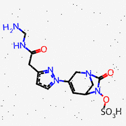 NCNC(=O)Cc1ccn(C2=CC3CN(C2)C(=O)N3OS(=O)(=O)O)n1